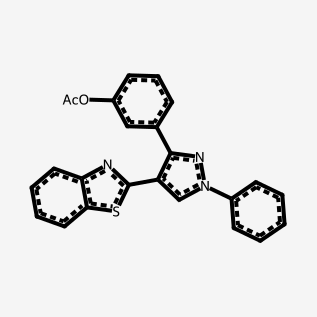 CC(=O)Oc1cccc(-c2nn(-c3ccccc3)cc2-c2nc3ccccc3s2)c1